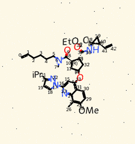 C=CCCCCN(C)C(=O)[C@@H]1C[C@H](Oc2cc(-n3ccc(C(C)C)n3)nc3c(C)c(OC)ccc23)C[C@H]1C(=O)N[C@]1(C(=O)OCC)C[C@H]1C=C